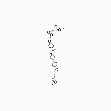 C=CC(=O)OCCCCOc1ccc(-c2ccc(OC(=O)c3ccc(OCCOC(=O)C(=C)CC(=O)OCC)cc3)cc2)cc1